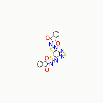 O=c1c(=Nc2nc3c4nsnc4c4nc(N=c5c(=O)c6ccccc6c5=O)sc4c3s2)c(=O)c2ccccc12